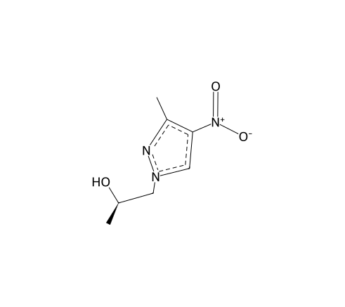 Cc1nn(C[C@@H](C)O)cc1[N+](=O)[O-]